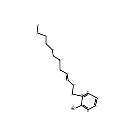 CCCCCCCCC=CCCc1ccccc1O